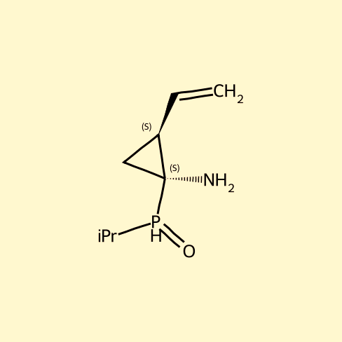 C=C[C@@H]1C[C@]1(N)[PH](=O)C(C)C